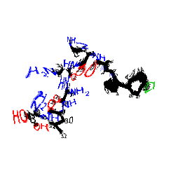 C=C/C(=C\C=C(/C)C(=O)N[C@@H](CCN)C(=O)N[C@@H](CCN)C(=O)N[C@@H](N)C(=O)N[C@@H](CC(C)C)C(=O)N[C@@H](N)B(O)O)c1ccc(Cl)cc1